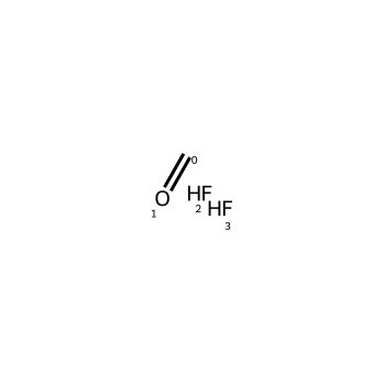 C=O.F.F